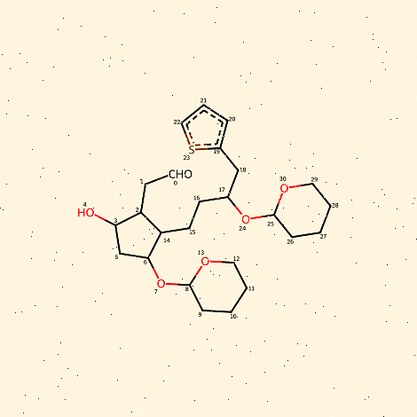 O=CCC1C(O)CC(OC2CCCCO2)C1CCC(Cc1cccs1)OC1CCCCO1